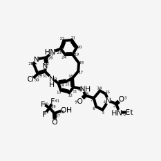 CCNC(=O)N1CCC(C(=O)Nc2ccc3cc2CCc2cccc(c2)Nc2ncc(Cl)c(n2)N3)CC1.O=C(O)C(F)(F)F